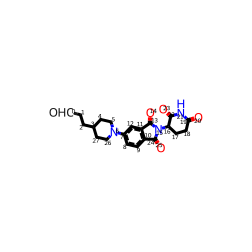 O=CCCC1CCN(c2ccc3c(c2)C(=O)N(C2CCC(=O)NC2=O)C3=O)CC1